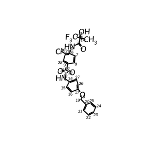 C[C@@](O)(C(=O)Nc1ccc(S(=O)(=O)Nc2ccc(OCc3ccccc3)cc2)cc1Cl)C(F)(F)F